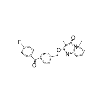 Cc1c(OCc2ccc(C(=O)c3ccc(F)cc3)cc2)nc2cccc(C)n2c1=O